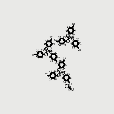 Cc1ccc(OP(Oc2ccc(C)cc2)Oc2ccc(C)cc2)cc1.Cc1ccc(OP(Oc2ccc(C)cc2)Oc2ccc(C)cc2)cc1.Cc1ccc(OP(Oc2ccc(C)cc2)Oc2ccc(C)cc2)cc1.[Cl][Ru]